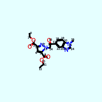 CCOC(=O)c1cc(C(=O)OCC)n(CC(=O)c2ccc3c(c2)ncn3C)n1